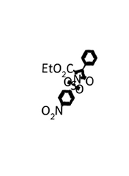 CCOC(=O)[C@H]1[C@@H](c2ccccc2)C(=O)N1S(=O)(=O)c1ccc([N+](=O)[O-])cc1